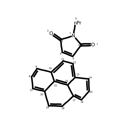 CCCN1C(=O)C=CC1=O.c1cc2ccc3cccc4ccc(c1)c2c34